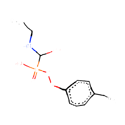 CCOC(=O)CNC(O)P(=O)(O)OOc1ccc([N+](=O)[O-])cc1